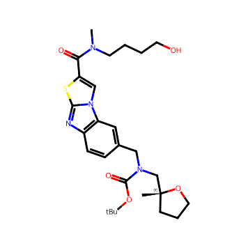 CN(CCCCO)C(=O)c1cn2c(nc3ccc(CN(C[C@@]4(C)CCCO4)C(=O)OC(C)(C)C)cc32)s1